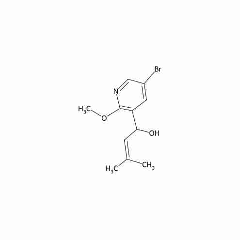 COc1ncc(Br)cc1C(O)C=C(C)C